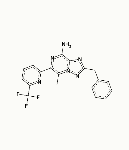 Cc1c(-c2cccc(C(F)(F)F)n2)nc(N)c2nc(Cc3ccccc3)nn12